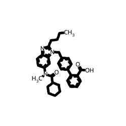 CCCCc1nc2ccc(N(C)C(=O)C3CCCCC3)cc2n1Cc1ccc(-c2ccccc2C(=O)O)cc1